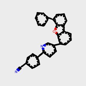 N#Cc1ccc(-c2ccc(-c3cccc4c3oc3c(-c5ccccc5)cccc34)cn2)cc1